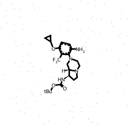 CC(C)(C)OC(=O)N[C@@H]1CCN2CCN(c3c(N)ccc(OC4CC4)c3C(F)(F)F)C[C@@H]12